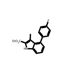 CCOC(=O)c1[nH]c2cccc(-c3ccc(F)cc3)c2c1C